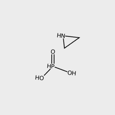 C1CN1.O=[PH](O)O